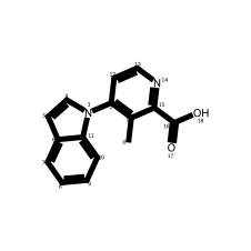 Cc1c(-n2ccc3ccccc32)ccnc1C(=O)O